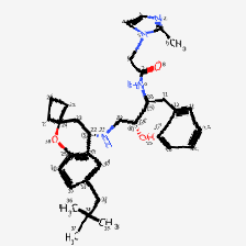 Cc1nccn1CC(=O)N[C@@H](Cc1ccccc1)[C@H](O)CN[C@H]1CC2(CCC2)Oc2ccc(CC(C)(C)C)cc21